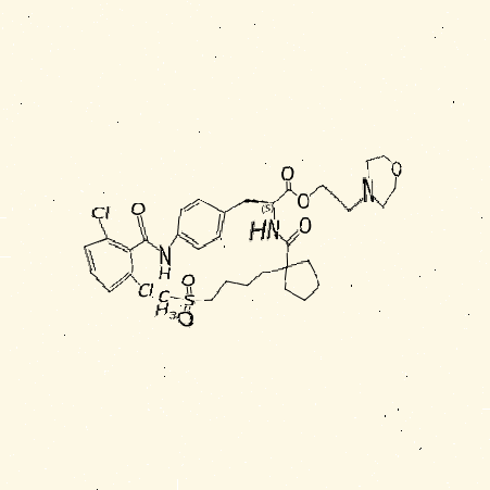 CS(=O)(=O)CCCCC1(C(=O)N[C@@H](Cc2ccc(NC(=O)c3c(Cl)cccc3Cl)cc2)C(=O)OCCN2CCOCC2)CCCC1